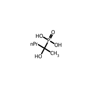 CCCC(C)(O)P(=O)(O)O